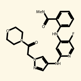 CNC(=O)c1ccccc1Nc1cc(Nc2cnn(CC(=O)N3CCOCC3)c2)ncc1F